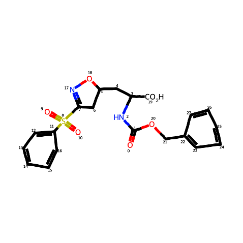 O=C(NC(CC1CC(S(=O)(=O)c2ccccc2)=NO1)C(=O)O)OCc1ccccc1